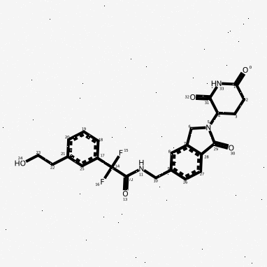 O=C1CCC(N2Cc3cc(CNC(=O)C(F)(F)c4cccc(CCO)c4)ccc3C2=O)C(=O)N1